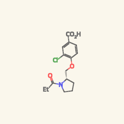 CCC(=O)N1CCC[C@H]1COc1ccc(C(=O)O)cc1Cl